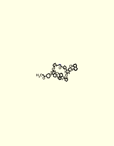 C=CC(=O)C1CCCN(c2nc(OC[C@@H]3CCCN3C/C=C\C(=O)C3CCN(c4nc(OC[C@@H]5CCCN5C)nc5c4CCN(c4cccc6cccc(Cl)c46)C5)C3)nc3c2CCN(c2cccc4cccc(Cl)c24)C3)CC1